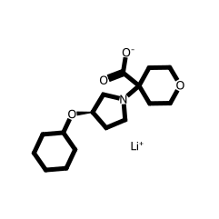 O=C([O-])C1(N2CC[C@@H](OC3CCCCC3)C2)CCOCC1.[Li+]